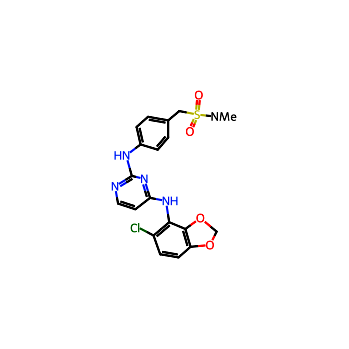 CNS(=O)(=O)Cc1ccc(Nc2nccc(Nc3c(Cl)ccc4c3OCO4)n2)cc1